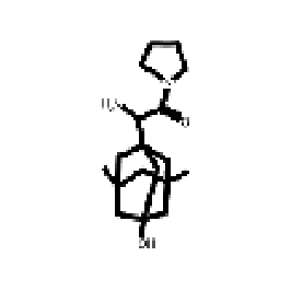 CC12CC3(C)CC(O)(C1)CC(C(N)C(=O)N1CCCC1)(C2)C3